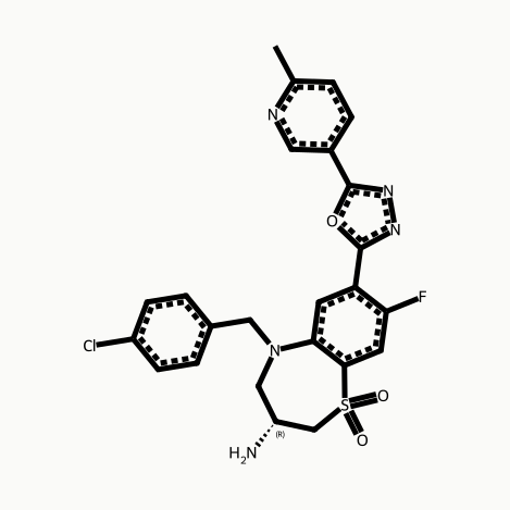 Cc1ccc(-c2nnc(-c3cc4c(cc3F)S(=O)(=O)C[C@H](N)CN4Cc3ccc(Cl)cc3)o2)cn1